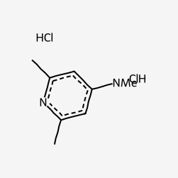 CNc1cc(C)nc(C)c1.Cl.Cl